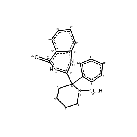 O=C(O)N1CCCCC1(c1ccccc1)c1nc2ccccc2c(=O)[nH]1